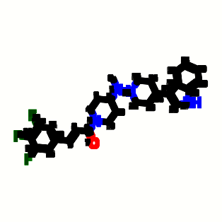 CN(C1CCN(C(=O)/C=C/c2cc(F)c(F)c(F)c2)CC1)N1CCC(c2c[nH]c3ccccc23)CC1